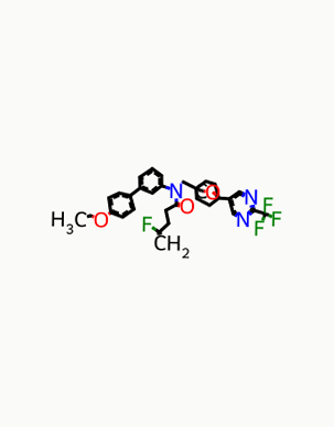 C=C(F)CCC(=O)N(CC12CCC(c3cnc(C(F)(F)F)nc3)(CC1)OC2)c1cccc(-c2ccc(OCC)cc2)c1